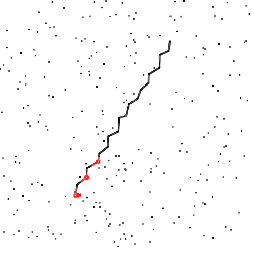 CCCCCCCCCCCCCCCOCOCO